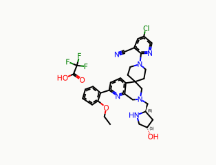 CCOc1ccccc1-c1ccc2c(n1)CN(C[C@H]1C[C@H](O)CN1)CC21CCN(c2ncc(Cl)cc2C#N)CC1.O=C(O)C(F)(F)F